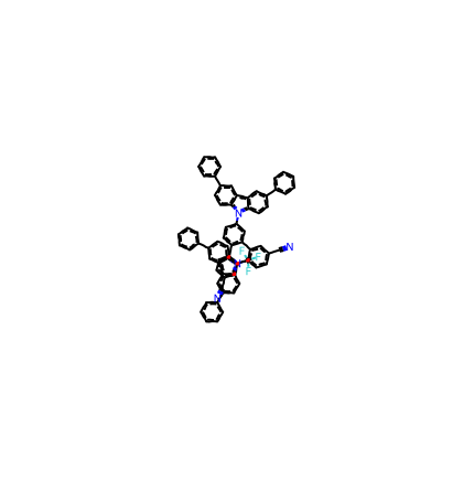 N#Cc1ccc(-n2c3ccc(-c4ccccc4)cc3c3cc(-c4ccccc4)ccc32)c(-c2cc(-n3c4ccc(-c5ccccc5)cc4c4cc(-c5ccccc5)ccc43)ccc2-c2ccc(C#N)cc2C(F)(F)F)c1